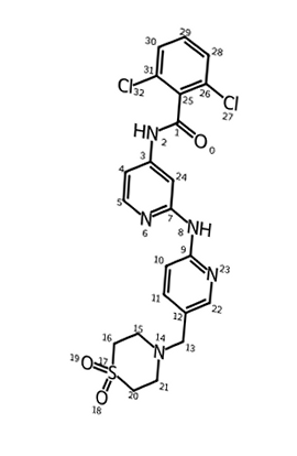 O=C(Nc1ccnc(Nc2ccc(CN3CCS(=O)(=O)CC3)cn2)c1)c1c(Cl)cccc1Cl